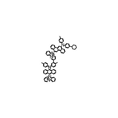 Cc1ccc(N(c2ccc(C)c(C3=CN4B(C=C3)N(c3cc5c6ccccc6c(N(c6ccc(C)cc6)c6ccc(C7CCCCC7)cc6)cc5c5ccccc35)c3ccccc34)c2)c2c3ccccc3c(N3B4C=CC=CN4c4ccccc43)c3ccccc23)cc1